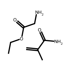 C=C(C)C(N)=O.CCOC(=O)CN